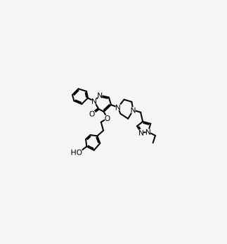 CCn1cc(CN2CCN(c3cnn(-c4ccccc4)c(=O)c3OCCc3ccc(O)cc3)CC2)cn1